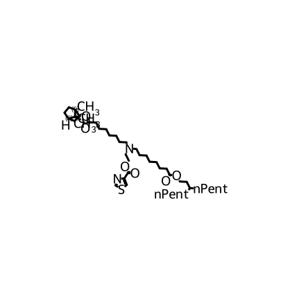 CCCCCC(CCCCC)CCOC(=O)CCCCCCCN(CCCCCCCC(=O)O[C@@H]1C[C@@H]2CC[C@@]1(C)C2(C)C)CCOC(=O)c1cscn1